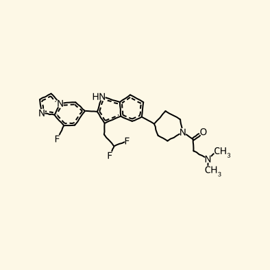 CN(C)CC(=O)N1CCC(c2ccc3[nH]c(-c4cc(F)c5nccn5c4)c(CC(F)F)c3c2)CC1